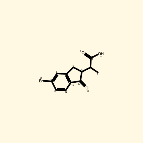 CC(C(=O)O)C1Cc2cc(Br)ccc2C1=O